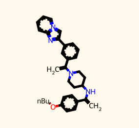 C=C(NC1CCN(C(=C)c2cccc(-c3cn4ccccc4n3)c2)CC1)c1ccc(OCCCC)cc1